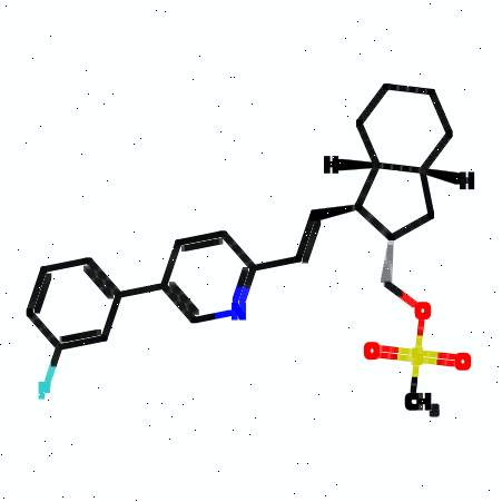 CS(=O)(=O)OC[C@H]1C[C@H]2CCCC[C@H]2[C@@H]1C=Cc1ccc(-c2cccc(F)c2)cn1